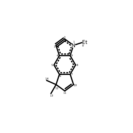 CCn1c#cc2cc3c(cc21)C=CC3(C)C